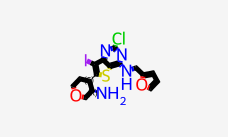 N[C@H]1COCC[C@@H]1c1sc2c(NCc3ccco3)nc(Cl)nc2c1I